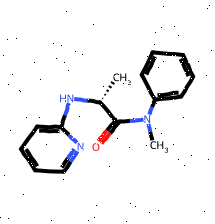 C[C@@H](Nc1ccccn1)C(=O)N(C)c1ccccc1